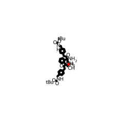 C#CC(N)(C(=O)Cc1ccc(CNC(=O)OC(C)(C)C)cc1)c1ccccc1C(N)(C#C)C(=O)Cc1ccc(CNC(=O)OC(C)(C)C)cc1